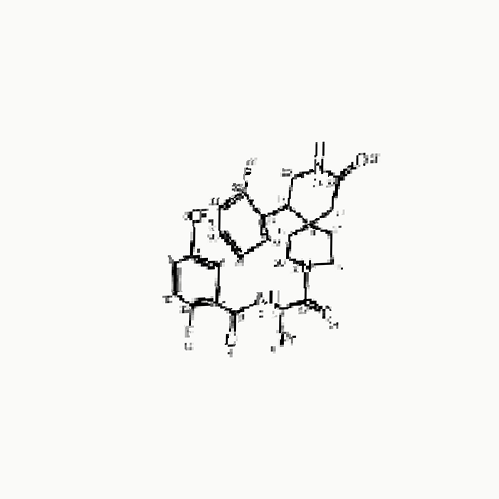 CC(C)[C@@H](NC(=O)c1cc(C(F)(F)F)ccc1F)C(=O)N1CCC2(CC1)CC(=O)NCC2c1ccccc1F